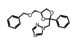 c1ccc(COC[C@H]2COC(Cn3cncn3)(c3ccccc3)O2)cc1